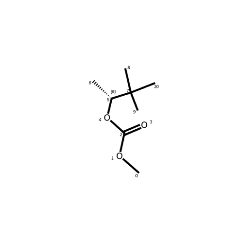 COC(=O)O[C@H](C)C(C)(C)C